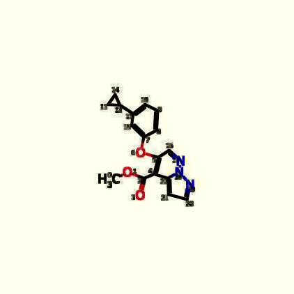 COC(=O)c1c(Oc2cccc(C3CC3)c2)cnn2nccc12